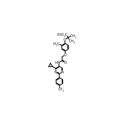 CCOC(=O)C(C)(C)Oc1ccc(OCC(=O)Nc2cnc(-c3ccc(C(F)(F)F)cc3)nc2C2CC2)cc1C